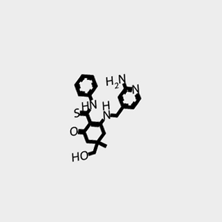 CC1(CO)CC(=O)C(C(=S)Nc2ccccc2)=C(NCc2ccnc(N)c2)C1